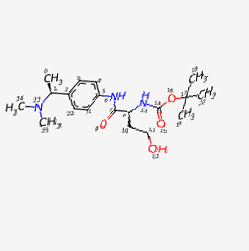 C[C@@H](c1ccc(NC(=O)[C@H](CCO)NC(=O)OC(C)(C)C)cc1)N(C)C